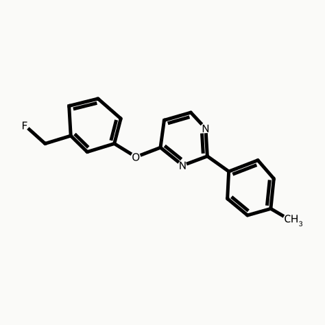 Cc1ccc(-c2nccc(Oc3cccc(CF)c3)n2)cc1